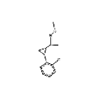 CO/N=C(\C)C1CC1c1ccccc1Cl